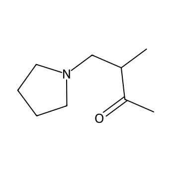 CC(=O)C(C)CN1CCCC1